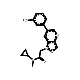 CN(C(=O)Cn1ncc2ncc(-c3cccc(C(F)(F)F)c3)cc21)C1CC1